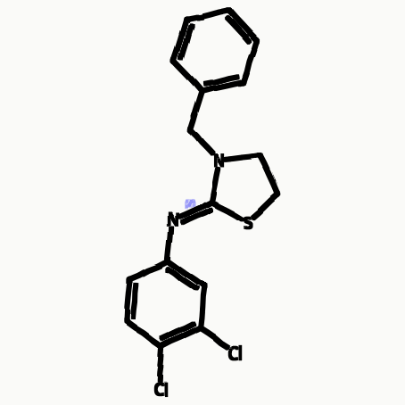 Clc1ccc(/N=C2\SCCN2Cc2ccccc2)cc1Cl